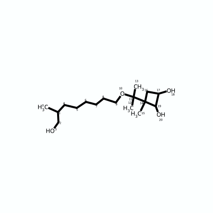 CC(CO)CCCCCCOC(C)(C)C1(C)CC(O)C1O